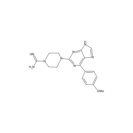 COc1ccc(-c2nc(N3CCN(C(=N)N)CC3)nc3[nH]cnc23)cc1